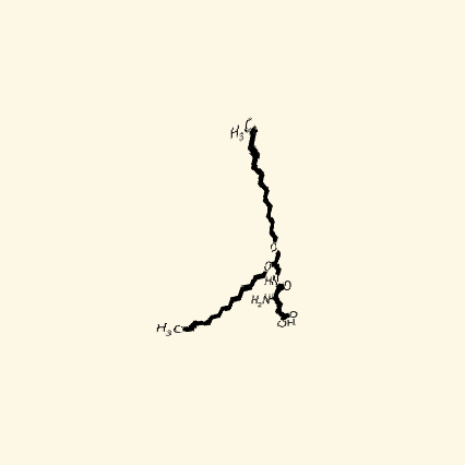 CCCCCCCCCCCCCCOCC(CNC(=O)[C@@H](N)CCC(=O)O)OCCCCCCCCCCCCCC